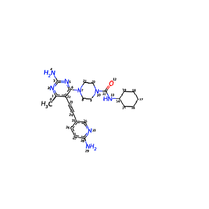 Cc1nc(N)nc(N2CCN(C(=O)NC3CCCCC3)CC2)c1C#Cc1ccc(N)nc1